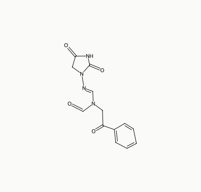 O=CN(C=NN1CC(=O)NC1=O)CC(=O)c1ccccc1